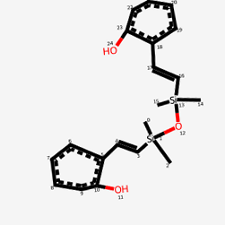 C[Si](C)(C=Cc1ccccc1O)O[Si](C)(C)C=Cc1ccccc1O